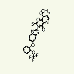 COc1ccnc2c(=O)n(-c3nc4ccc(Oc5ccccc5OC(F)(F)F)cc4s3)c(=S)oc12